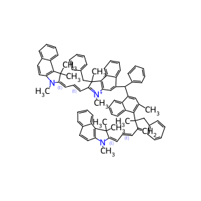 C=C(/C=C/C=C1/N(C)c2ccc3ccccc3c2C1(C)C)C(C)(Cc1ccccc1)c1c(C)cc(C(c2ccccc2)c2cc3c(c4ccccc24)C(C)(Cc2ccccc2)C(/C=C/C=C2/N(C)c4ccc5ccccc5c4C2(C)C)=[N+]3C)c2ccccc12